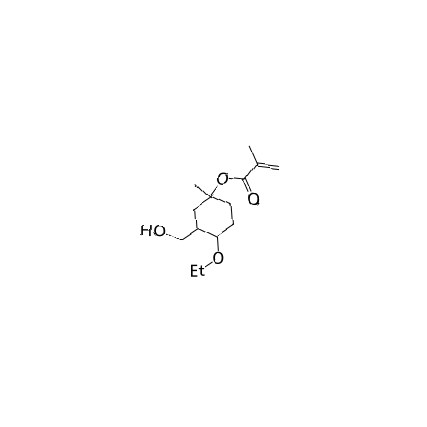 C=C(C)C(=O)OC1(C)CCC(OCC)C(CO)C1